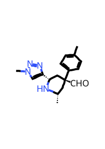 Cc1ccc([C@@]2(C=O)C[C@@H](c3cn(C)nn3)N[C@@H](C)C2)cc1